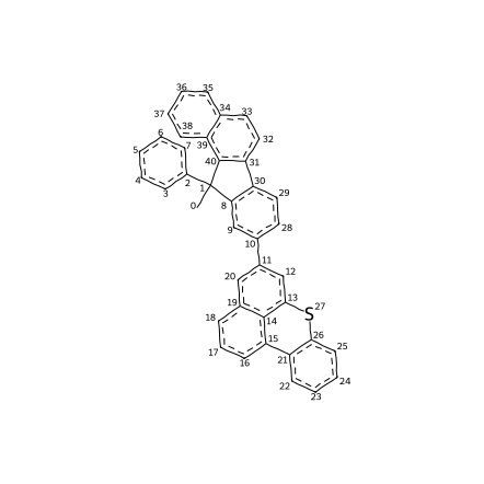 CC1(c2ccccc2)c2cc(-c3cc4c5c(cccc5c3)-c3ccccc3S4)ccc2-c2ccc3ccccc3c21